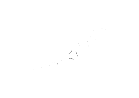 CCC1CCC(C2CCC(c3ccc(OCCCCCCOC)cc3)CC2)CC1